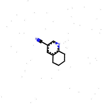 N#Cc1cnc2c(c1)CCC[CH]2